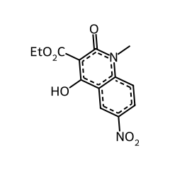 CCOC(=O)c1c(O)c2cc([N+](=O)[O-])ccc2n(C)c1=O